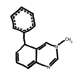 CN1C=NC2=CC=CC(c3ccccc3)C2=C1